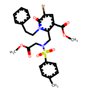 COC(=O)CN(Cc1c(C(=O)OC)cc(Br)c(=O)n1CCc1ccccc1)S(=O)(=O)c1ccc(C)cc1